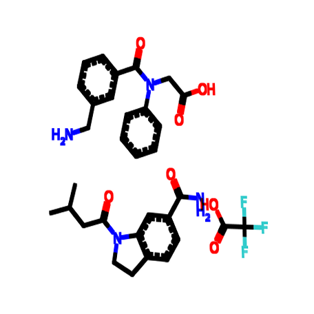 CC(C)CC(=O)N1CCc2ccc(C(N)=O)cc21.NCc1cccc(C(=O)N(CC(=O)O)c2ccccc2)c1.O=C(O)C(F)(F)F